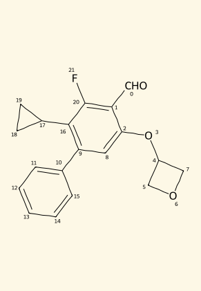 O=Cc1c(OC2COC2)cc(-c2ccccc2)c(C2CC2)c1F